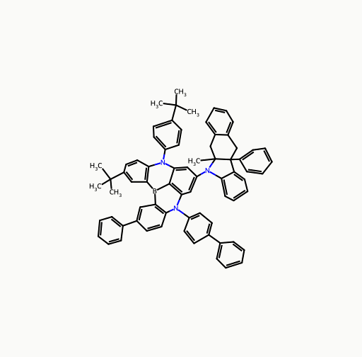 CC(C)(C)c1ccc(N2c3ccc(C(C)(C)C)cc3B3c4cc(-c5ccccc5)ccc4N(c4ccc(-c5ccccc5)cc4)c4cc(N5c6ccccc6C6(c7ccccc7)Cc7ccccc7CC56C)cc2c43)cc1